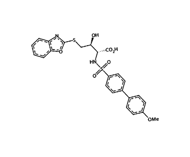 COc1ccc(-c2ccc(S(=O)(=O)N[C@@H](C(=O)O)[C@H](O)CSc3nc4ccccc4o3)cc2)cc1